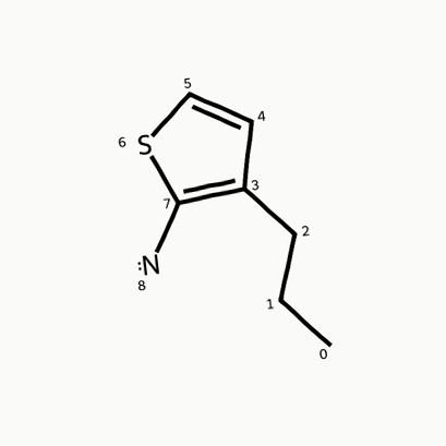 CCCc1ccsc1[N]